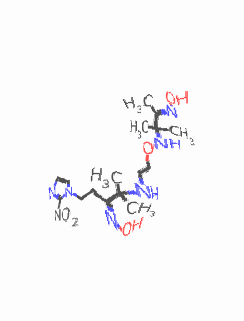 CC(=NO)C(C)(C)NOCCNC(C)(C)C(CCn1ccnc1[N+](=O)[O-])=NO